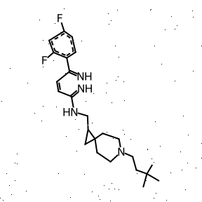 CC(C)(C)CCN1CCC2(CC1)CC2CNC(=N)/C=C\C(=N)c1ccc(F)cc1F